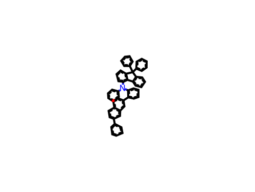 c1ccc(-c2ccc3ccc(-c4ccccc4N(c4ccccc4)c4cccc5c4-c4ccccc4C5(c4ccccc4)c4ccccc4)cc3c2)cc1